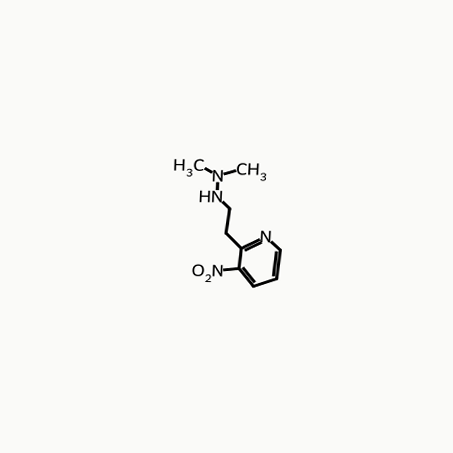 CN(C)NCCc1ncccc1[N+](=O)[O-]